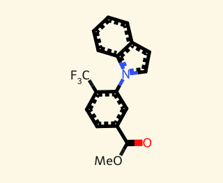 COC(=O)c1ccc(C(F)(F)F)c(-n2ccc3ccccc32)c1